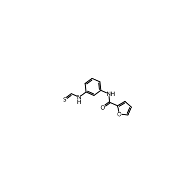 O=C(Nc1cccc(NC=S)c1)c1ccco1